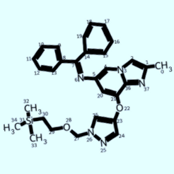 Cc1cn2cc(N=C(c3ccccc3)c3ccccc3)cc(Oc3cnn(COCC[Si](C)(C)C)c3)c2n1